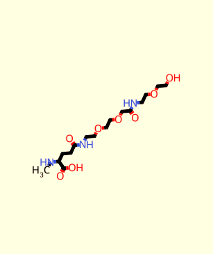 CNC(CCC(=O)NCCOCCOCC(=O)NCCOCCO)C(=O)O